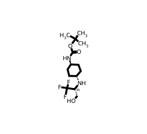 CC(C)(C)OC(=O)N[C@H]1CC[C@H](N[C@H](CO)C(F)(F)F)CC1